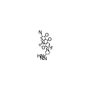 COc1c(N2CC[C@@H](c3ncn[nH]3)C2)c(F)cc2c(=O)c3c(n(C4CC4)c12)SC(C#N)C3=O